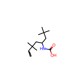 C=CC(C)(C)CC(CC(C)(C)C)NC(=O)O